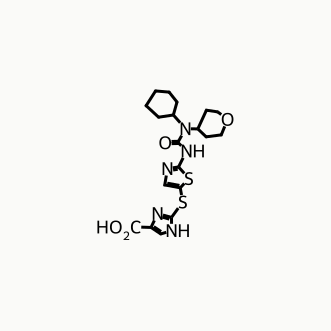 O=C(O)c1c[nH]c(Sc2cnc(NC(=O)N(C3CCCCC3)C3CCOCC3)s2)n1